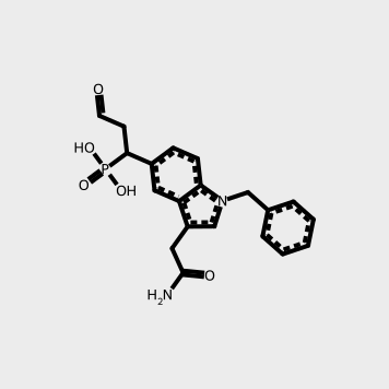 NC(=O)Cc1cn(Cc2ccccc2)c2ccc(C(CC=O)P(=O)(O)O)cc12